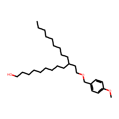 CCCCCCCCCC(CCCCCCCCCO)CCOCc1ccc(OC)cc1